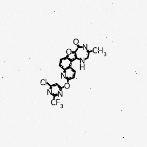 CC1=NC(=O)c2oc3ccc4nc(Oc5cc(Cl)nc(C(F)(F)F)n5)ccc4c3c2NC1